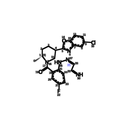 C[C@@H]1CCC(c2nc3cc(Cl)ccc3o2)CN1C(=O)c1cc(F)ccc1N/N=C\C=N